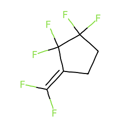 FC(F)=C1CCC(F)(F)C1(F)F